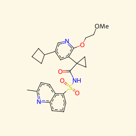 COCCOc1ncc(C2CCC2)cc1C1(C(=O)NS(=O)(=O)c2cccc3nc(C)ccc23)CC1